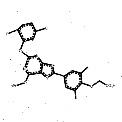 CCCOc1nc(Oc2cc(Cl)ccc2F)nc2oc(-c3cc(C)c(OCC(=O)O)c(C)c3)nc12